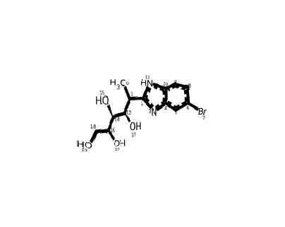 CC(c1nc2cc(Br)ccc2[nH]1)[C@@H](O)[C@H](O)C(O)CO